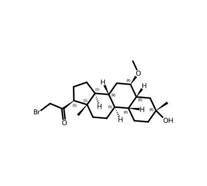 CO[C@@H]1C[C@@H]2[C@H](CC[C@]3(C)[C@@H](C(=O)CBr)CC[C@@H]23)[C@H]2CC[C@@](C)(O)C[C@H]21